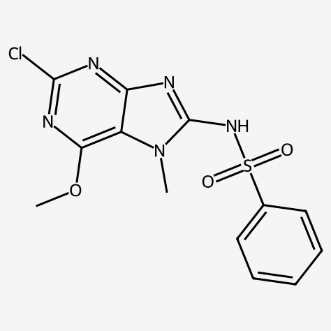 COc1nc(Cl)nc2nc(NS(=O)(=O)c3ccccc3)n(C)c12